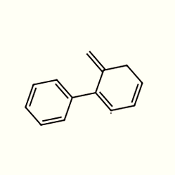 C=C1CC=C[C]=C1c1ccccc1